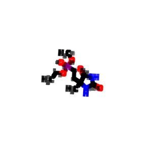 CCOP(=O)(CCC1(C)NC(=O)NC1=O)OC